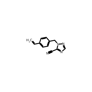 C=Cc1ccc(Cn2ncnc2C#N)cc1